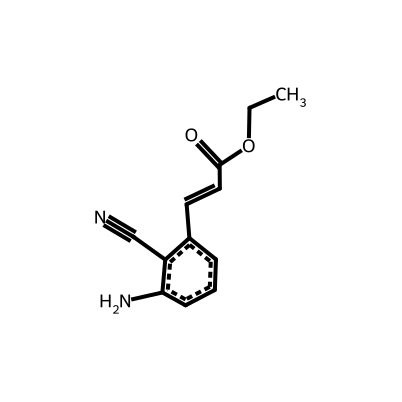 CCOC(=O)C=Cc1cccc(N)c1C#N